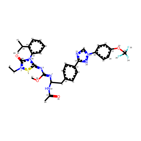 CCn1s/c(=N\C(=N\C(Cc2ccc(-c3ncn(-c4ccc(OC(F)(F)F)cc4)n3)cc2)NC(C)=O)OC)n(-c2ccccc2C(C)C)c1=O